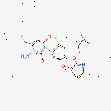 C=C(C)CCOc1ncccc1Oc1ccc(F)c(-n2c(=O)cc(CF)n(N)c2=O)c1